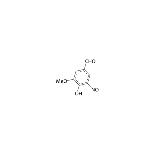 COc1cc(C=O)cc(N=O)c1O